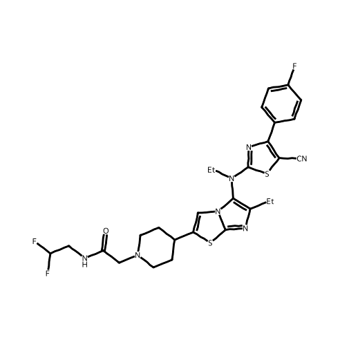 CCc1nc2sc(C3CCN(CC(=O)NCC(F)F)CC3)cn2c1N(CC)c1nc(-c2ccc(F)cc2)c(C#N)s1